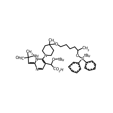 CC(CCCCOC1(C)CCN(C2=C(C(OC(C)(C)C)C(=O)O)C=NC3=CC(C)(C=O)NN32)CC1)O[Si](c1ccccc1)(c1ccccc1)C(C)(C)C